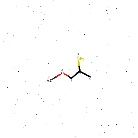 CCOCC(C)S